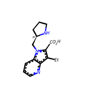 CCc1c(C(=O)O)n(C[C@H]2CCCN2)c2cccnc12